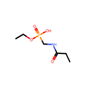 CCOP(=O)(O)CNC(=O)CC